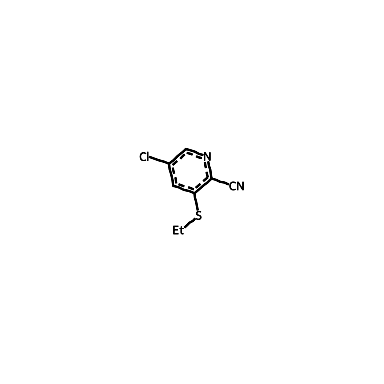 CCSc1cc(Cl)cnc1C#N